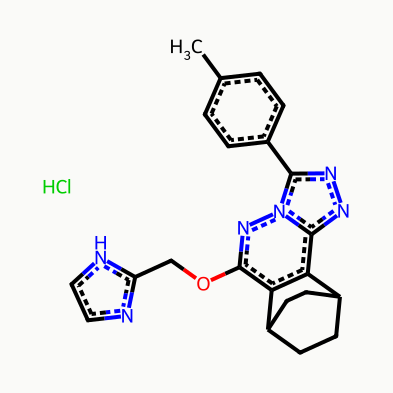 Cc1ccc(-c2nnc3c4c(c(OCc5ncc[nH]5)nn23)C2CCC4CC2)cc1.Cl